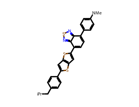 CNc1ccc(-c2ccc(-c3cc4sc(-c5ccc(CC(C)C)cc5)cc4s3)c3nsnc23)cc1